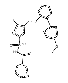 COc1ccc(-c2ccccc2OCc2cc(S(=O)(=O)NC(=O)c3ccccc3)oc2C)cc1